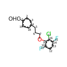 O=Cc1ccc(CCCOc2c(F)ccc(F)c2Cl)cc1